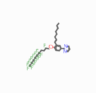 CCCCCCCCc1cc(-c2ncccn2)ccc1OCC(F)CCC(F)(F)C(F)(F)C(F)(F)C(F)(F)C(F)(F)C(F)(F)F